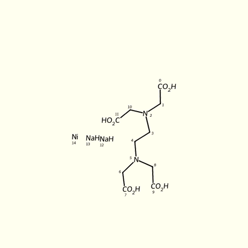 O=C(O)CN(CCN(CC(=O)O)CC(=O)O)CC(=O)O.[NaH].[NaH].[Ni]